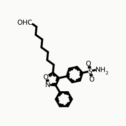 NS(=O)(=O)c1ccc(-c2c(-c3ccccc3)noc2CCCCCCCC=O)cc1